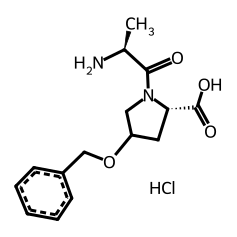 C[C@H](N)C(=O)N1CC(OCc2ccccc2)C[C@H]1C(=O)O.Cl